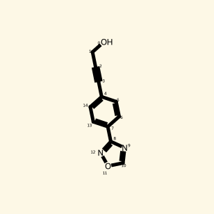 OCC#Cc1ccc(-c2ncon2)cc1